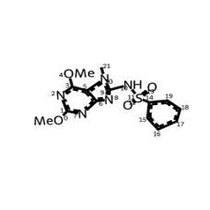 COc1nc(OC)c2c(n1)nc(NS(=O)(=O)c1ccccc1)n2C